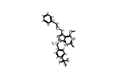 COc1nc(C)nc2c1c(COCc1ccccc1)nn2[C@@H](C)c1ccc(C(F)(F)F)cc1